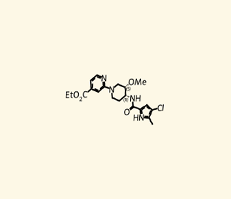 CCOC(=O)c1ccnc(N2CC[C@@H](NC(=O)c3cc(Cl)c(C)[nH]3)[C@@H](OC)C2)c1